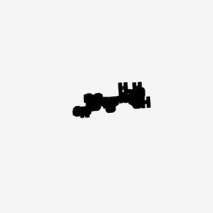 CNc1c(O)ccc(C(O)CNCCc2ccc(C(=O)N3CC=C(c4cccc(C(C(=O)OCC5CCN(Cc6ccccc6)CC5)c5ccccc5)c4)CC3)cc2)c1/C=C\C=O